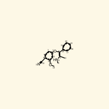 CNC(C)=C(Oc1ccc(C#N)c(OC)c1)c1ccccc1